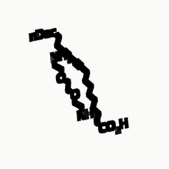 CCCCCCCCCCCCC#CC#CCCCCCCCCC(=O)O.NCCOCCOCCN